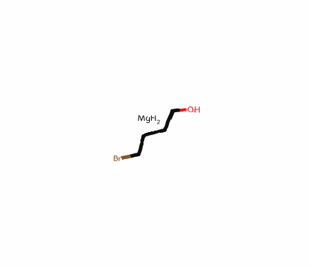 OCCCCBr.[MgH2]